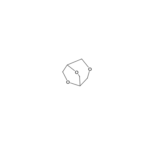 C1OCC2COC1CO2